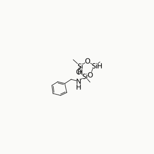 C[SiH]1O[SiH](C)O[Si](C)(NCc2ccccc2)O1